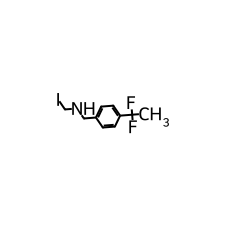 CC(F)(F)c1ccc(CNCI)cc1